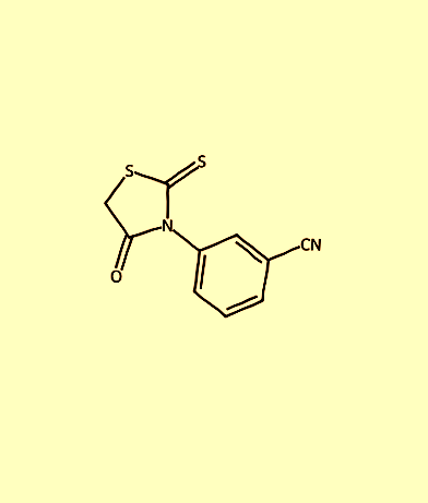 N#Cc1cccc(N2C(=O)CSC2=S)c1